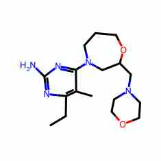 CCc1nc(N)nc(N2CCCOC(CN3CCOCC3)C2)c1C